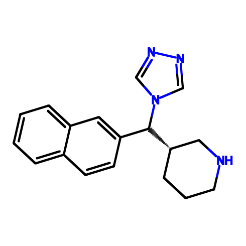 c1ccc2cc(C([C@H]3CCCNC3)n3cnnc3)ccc2c1